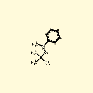 C[SiH](O[Si](C)(C)C)c1ccccc1